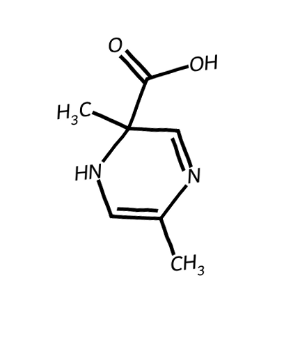 CC1=CNC(C)(C(=O)O)C=N1